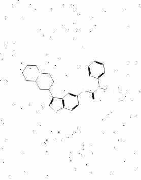 O=CN(C(=O)Nc1ccc2[nH]cc(C3CCN4CCCCC4C3)c2c1)c1ccccc1